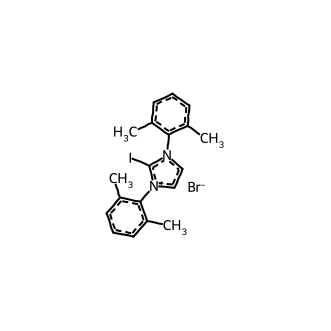 Cc1cccc(C)c1-n1cc[n+](-c2c(C)cccc2C)c1I.[Br-]